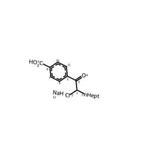 CCCCCCCC(Cl)C(=O)c1ccc(C(=O)O)cc1.[NaH]